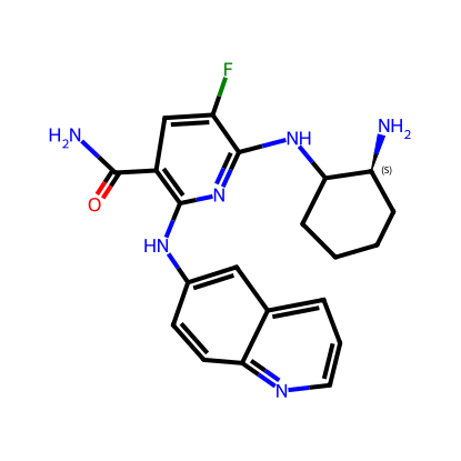 NC(=O)c1cc(F)c(NC2CCCC[C@@H]2N)nc1Nc1ccc2ncccc2c1